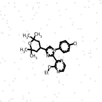 CCOc1nccnc1-c1nc(C2CC(C)(C)OC(C)(C)C2)cn1-c1ccc(Cl)cc1